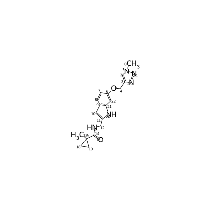 Cn1cc(COc2ccc3cc(CNC(=O)C4(C)CC4)[nH]c3c2)nn1